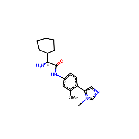 COc1cc(NC(=O)[C@@H](N)C2CCCCC2)ccc1-c1cncn1C